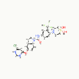 O=C(Nc1ccc(N2CCS(O)(O)CC2)c(C(F)(F)F)c1)N1CCc2cc(Oc3cc(Cl)ncn3)ccc21